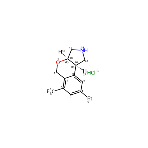 CCc1cc2c(c(C(F)(F)F)c1)CO[C@H]1CNC[C@@H]21.Cl